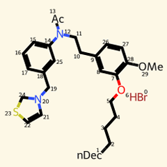 Br.CCCCCCCCCCCCCCOc1cc(CCN(C(C)=O)c2cccc(CN3C=CSC3)c2)ccc1OC